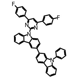 Fc1ccc(-c2cc(-c3ccc(F)cc3)nc(-n3c4ccccc4c4cc(-c5ccc6c7ccccc7n(-c7ccccc7)c6c5)ccc43)n2)cc1